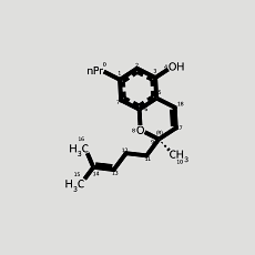 CCCc1cc(O)c2c(c1)O[C@](C)(CCC=C(C)C)C=C2